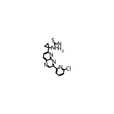 NC(=S)NC1(c2ccc3ncc(-c4cccc(Cl)n4)nc3n2)CC1